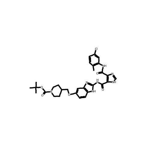 Cc1ccc(Cl)cc1NC(=O)c1nc[nH]c1C(=O)Nc1nc2cc(OCC3CCN(C(=O)OC(C)(C)C)CC3)ccc2[nH]1